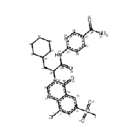 CS(=O)(=O)c1cc(Cl)c2ncn([C@@H](CC3CCCCC3)C(=O)Nc3ccc(C(N)=O)cn3)c(=O)c2c1